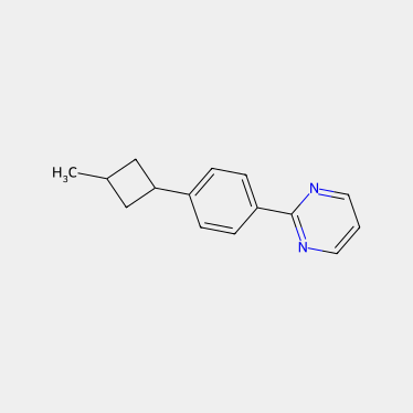 CC1CC(c2ccc(-c3ncccn3)cc2)C1